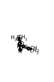 CC(C)c1ccc(COc2ccc(-c3c(-c4ccncn4)nn4c3C(=O)N(CC3COC(C)(C)O3)CC4)cc2)cc1